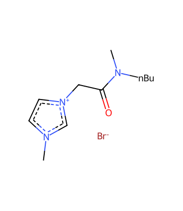 CCCCN(C)C(=O)C[n+]1ccn(C)c1.[Br-]